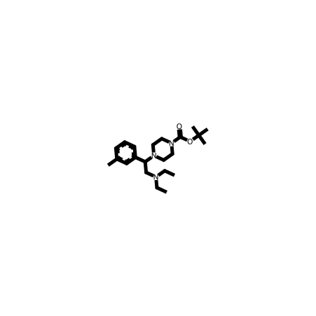 CCN(CC)CC(c1cccc(C)c1)N1CCN(C(=O)OC(C)(C)C)CC1